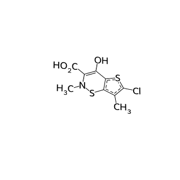 Cc1c(Cl)sc2c1SN(C)C(C(=O)O)=C2O